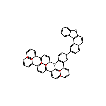 C1=CCCC(c2cc(-c3ccc4ccc5oc6ccccc6c5c4c3)ccc2N(c2ccccc2-c2ccc(-c3ccccc3)cc2)C2C=CC(c3ccccc3)=CC2)=C1